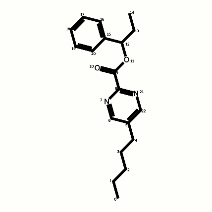 CCCCCc1cnc(C(=O)OC(CC)c2ccccc2)nc1